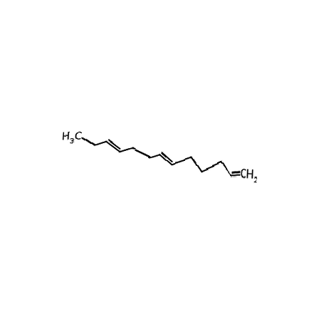 C=CCCCC=CCCC=CCC